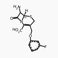 NC1C(=O)N2C(C(=O)O)=C(COc3cccc(F)c3)CS[C@@H]12